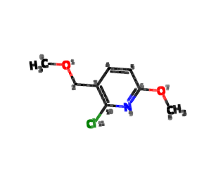 COCc1ccc(OC)nc1Cl